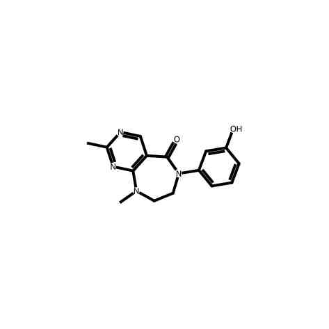 Cc1ncc2c(n1)N(C)CCN(c1cccc(O)c1)C2=O